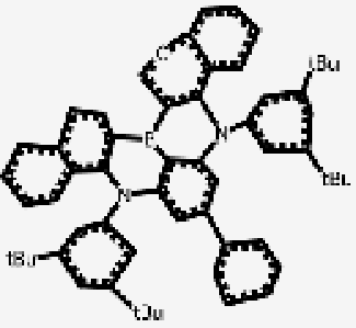 CC(C)(C)c1cc(N2c3cc(-c4ccccc4)cc4c3B(c3ccc5ccccc5c32)c2ccc3ccccc3c2N4c2cc(C(C)(C)C)cc(C(C)(C)C)c2)cc(C(C)(C)C)c1